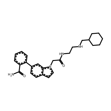 NC(=O)c1ccccc1-c1ccc2ccn(CC(=O)NCCNCC3CCCCC3)c2c1